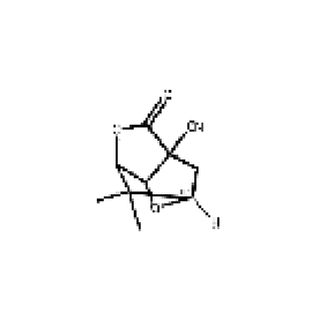 CC1(C)C2OC(=O)C3(C#N)C[C@H]1OC23